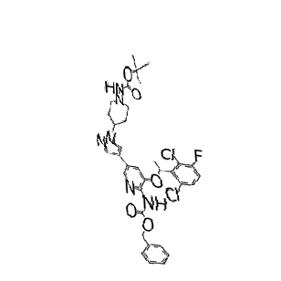 CC(Oc1cc(-c2cnn(C3CCN(NC(=O)OC(C)(C)C)CC3)c2)cnc1NC(=O)OCc1ccccc1)c1c(Cl)ccc(F)c1Cl